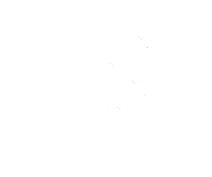 CC(C)(C)C[C@H](NC(=O)CCc1ccc(Cl)cc1Cl)C(=O)NC(C#N)C[C@@H]1CCNC1=O